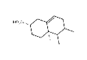 CC1CC=C2C[C@@H](C(=O)O)CC[C@]2(C)C1C